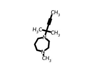 CC#CC(C)(C)N1CCCN(C)CC1